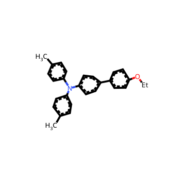 CCOc1ccc(-c2ccc(N(c3ccc(C)cc3)c3ccc(C)cc3)cc2)cc1